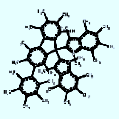 Cc1c(C)c(C)c(-c2c(C)c(C)c3c(c2C)C(c2c(C)c4c(C)c(C)c(C)c(C)c4n2C)(c2c(C)c4c(C)c(C)c(C)c(C)c4n2C)c2c(C)c(C)c(C)c(C)c2-3)c(C)c1C